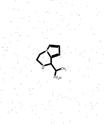 CC(C(=O)O)C1NCCn2cccc21